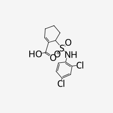 O=C(O)C1=CCCCC1S(=O)(=O)Nc1ccc(Cl)cc1Cl